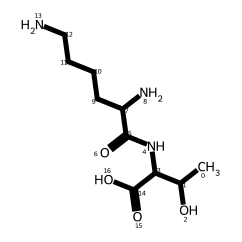 CC(O)C(NC(=O)C(N)CCCCN)C(=O)O